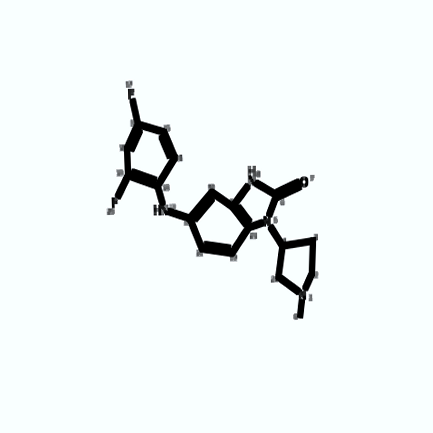 CN1CCC(n2c(=O)[nH]c3cc(Nc4ccc(F)cc4F)ccc32)C1